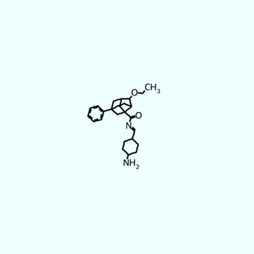 CCOC1C2CC3(c4ccccc4)CC1C(C(=O)/N=C/C1CCC(N)CC1)(C2)C3